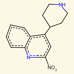 O=[N+]([O-])c1cc(C2CCNCC2)c2ccccc2n1